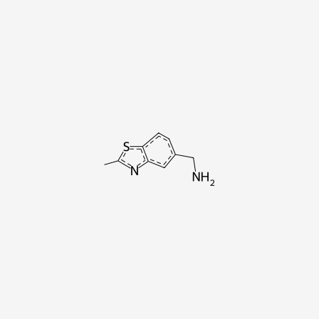 Cc1nc2cc(CN)ccc2s1